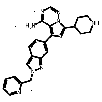 Nc1ncnn2c(C3CCNCC3)cc(-c3ccc4cn(Cc5ccccn5)nc4c3)c12